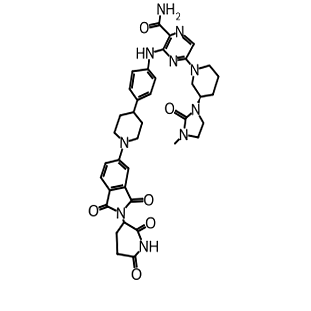 CN1CCN([C@@H]2CCCN(c3cnc(C(N)=O)c(Nc4ccc(C5CCN(c6ccc7c(c6)C(=O)N(C6CCC(=O)NC6=O)C7=O)CC5)cc4)n3)C2)C1=O